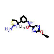 C#CCOc1cnc(C(=O)Nc2cccc(C3(C(F)(F)F)CCSC(N)=N3)c2)cn1